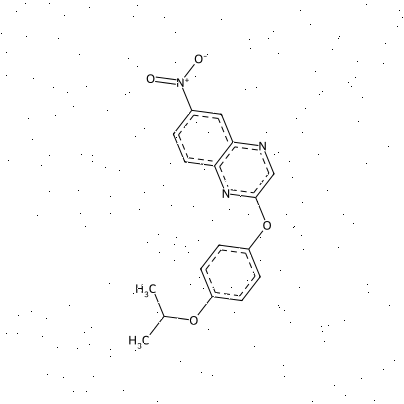 CC(C)Oc1ccc(Oc2cnc3cc([N+](=O)[O-])ccc3n2)cc1